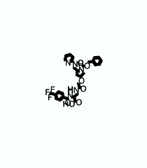 O=C(COC1CC(CNc2ccccn2)N(C(=O)OCc2ccccc2)C1)NCC(NC(=O)c1ccc(C(F)(F)F)cc1)C(=O)O